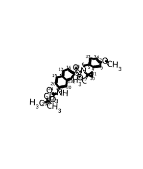 COc1ccc(CN(C2(C)CC2)S(=O)(=O)c2ccc3ccc(NC(=O)OC(C)(C)C)cc3c2)cc1